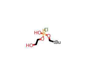 CC(C)(C)CO[PH](O)(Cl)OCCO